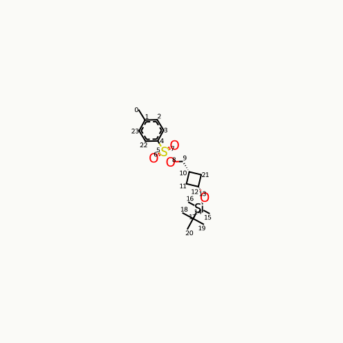 Cc1ccc(S(=O)(=O)OC[C@H]2C[C@@H](O[Si](C)(C)C(C)(C)C)C2)cc1